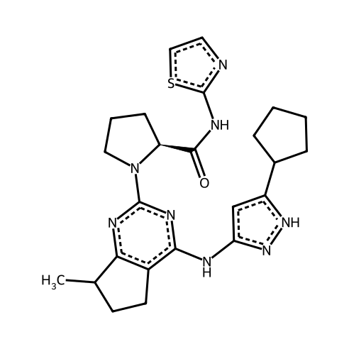 CC1CCc2c(Nc3cc(C4CCCC4)[nH]n3)nc(N3CCC[C@H]3C(=O)Nc3nccs3)nc21